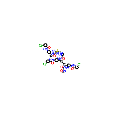 O=C(Nc1ccc(C2(NC(=O)c3csc(Cn4ccc(C(=O)NC5(c6ccc(NC(=O)c7cccc(Cl)c7)cc6)CC(C6CC(NC(=O)c7ncco7)(c7ccc(NC(=O)c8cccc(Cl)c8)cc7)C6)C5)n4)n3)CCC2)cc1)c1cccc(Cl)c1